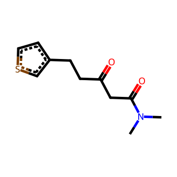 CN(C)C(=O)CC(=O)CCc1ccsc1